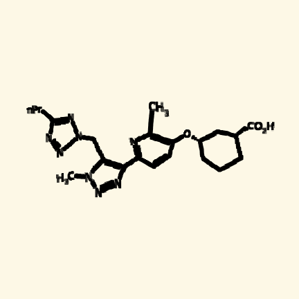 CCCc1nnn(Cc2c(-c3ccc(O[C@H]4CCC[C@H](C(=O)O)C4)c(C)n3)nnn2C)n1